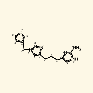 Nc1nc(CCCc2cn(Cc3ccoc3)nn2)c[nH]1